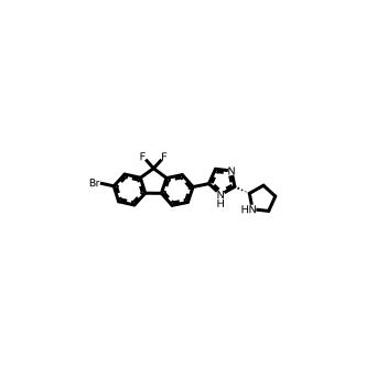 FC1(F)c2cc(Br)ccc2-c2ccc(-c3cnc([C@@H]4CCCN4)[nH]3)cc21